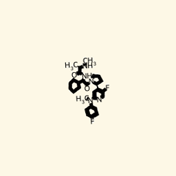 CN[C@@H](C)C(=O)NC(C(=O)N1CCC[C@H]1c1cc(N(C)c2ccc(F)cc2)ncc1F)C1CCCCC1